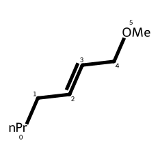 [CH2]CCCC=CCOC